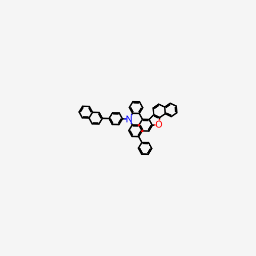 c1ccc(-c2ccc(N(c3ccc(-c4ccc5ccccc5c4)cc3)c3ccccc3-c3cccc4oc5c6ccccc6ccc5c34)cc2)cc1